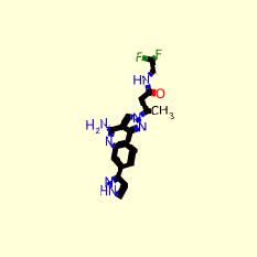 CC(CC(=O)NCC(F)F)n1cc2c(N)nc3cc(-c4cc[nH]n4)ccc3c2n1